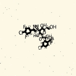 CN(C(=O)[C@@H]1O[C@H](CCO)[C@H](O)[C@H](n2cc(-c3cc(F)c(Cl)c(F)c3)nn2)[C@H]1O)c1cc(Cl)ccc1C(F)(F)F